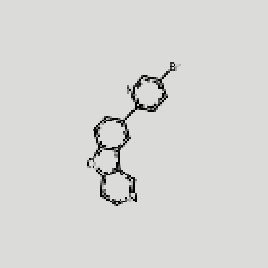 Brc1ccc(-c2ccc3oc4ccncc4c3c2)nc1